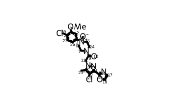 COc1cc([N+]2([O-])CCN(C(=O)Cn3nc(-c4ncco4)c(Cl)c3C)CC2)ccc1Cl